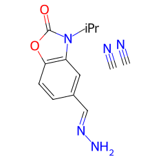 C#N.C#N.CC(C)n1c(=O)oc2ccc(C=NN)cc21